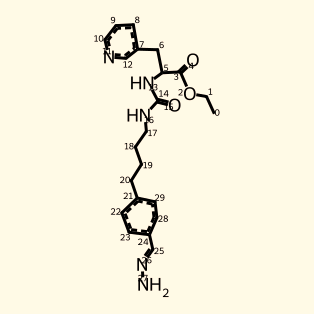 CCOC(=O)C(Cc1cccnc1)NC(=O)NCCCCc1ccc(C=NN)cc1